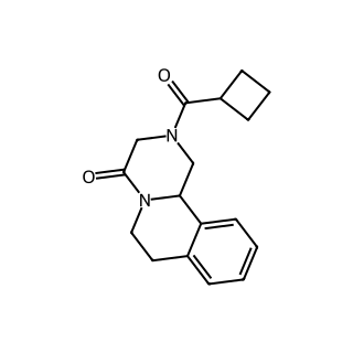 O=C(C1CCC1)N1CC(=O)N2CCc3ccccc3C2C1